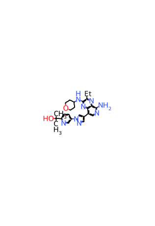 CCc1nc2c(N)ncc(-c3cnn(-c4ccc(C(C)(C)O)nc4)c3)c2nc1NC1CCOCC1